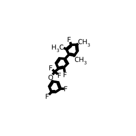 Cc1cc(C)c(-c2ccc(C(F)(F)Oc3cc(F)cc(F)c3)c(F)c2)c(C)c1F